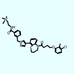 Cc1c(Cl)cccc1OCCCC(=O)N1CCCSc2c(-c3cnn(Cc4cccc(C(=O)NCC[N+](C)(C)C)c4)c3)cccc21